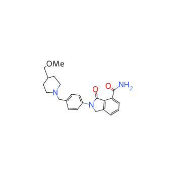 COCC1CCN(Cc2ccc(N3Cc4cccc(C(N)=O)c4C3=O)cc2)CC1